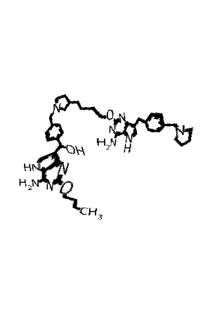 CCCCOc1nc(N)c2[nH]cc(C(O)c3ccc(CN4CCC(CCCCOc5nc(N)c6[nH]cc(Cc7ccc(CN8CCCC8)cc7)c6n5)C4)cc3)c2n1